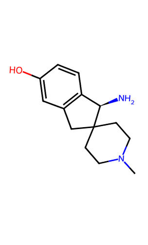 CN1CCC2(CC1)Cc1cc(O)ccc1[C@H]2N